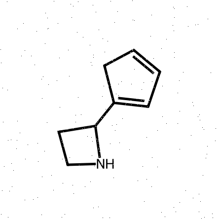 C1=CCC(C2CCN2)=C1